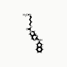 C/N=C\CCCOC(=O)N1Cc2cnc(NC3Cc4ccccc4C3)nc2C1